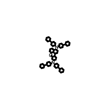 c1ccc(-c2ccc(N(c3ccc(-c4ccccc4)cc3)c3ccc4c(c3)Oc3cccc5c(N(c6ccc(-c7ccccc7)cc6)c6ccc(-c7ccccc7)cc6)ccc-4c35)cc2)cc1